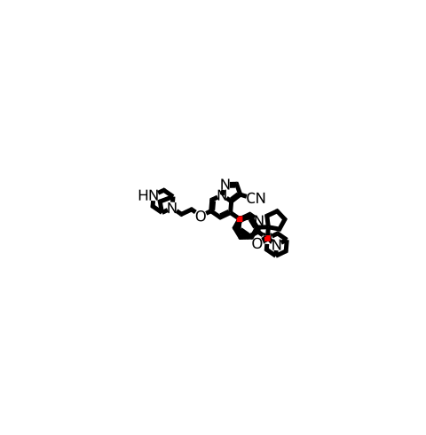 N#Cc1cnn2cc(OCCN3C4CNCC3C4)cc(-c3ccc(N4CC5CC(C4)N5C(=O)C4(c5ccccc5)CCCC4)nc3)c12